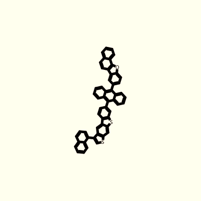 c1ccc2c(-c3csc4cc5sc6cc(-c7c8ccccc8c(-c8ccc9oc%10c%11ccccc%11ccc%10c9c8)c8ccccc78)ccc6c5cc34)cccc2c1